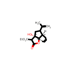 C=C(C)C1C[C@]2(O)C(C(=O)OCC)C(=O)O[C@@]23CC=CC[C@H]13